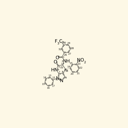 O=C(N[C@@H]1C(=O)Nc2c(cnn2-c2ccccc2)[C@H]1c1cccc([N+](=O)[O-])c1)c1cccc(C(F)(F)F)c1